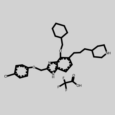 Clc1ccc(OCc2nc3c(OCC4CCCCC4)c(CCCC4CCNCC4)ccc3[nH]2)cc1.O=C(O)C(F)(F)F